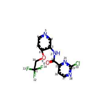 O=C(Nc1cnccc1OCC(F)(F)F)c1ccnc(Cl)n1